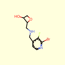 OC1COC1CNCc1ccnc(Br)c1F